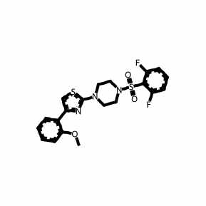 COc1ccccc1-c1csc(N2CCN(S(=O)(=O)c3c(F)cccc3F)CC2)n1